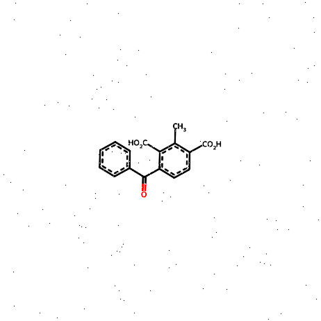 Cc1c(C(=O)O)ccc(C(=O)c2ccccc2)c1C(=O)O